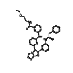 CCOCCNC(=O)c1cccc(Nc2nccc(-c3c(-c4cccc(NC(=O)Cc5ccccc5)c4)nc4sccn34)n2)c1